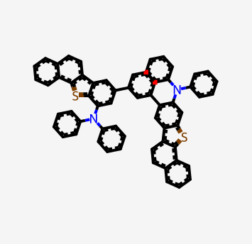 c1ccc(N(c2ccccc2)c2cc3sc4c5ccccc5ccc4c3cc2-c2cccc(-c3cc(N(c4ccccc4)c4ccccc4)c4sc5c6ccccc6ccc5c4c3)c2)cc1